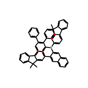 CC1(C)c2ccccc2-c2ccc(-c3cc4ccccc4cc3N(c3ccc4c(c3)C(C)(C)c3ccccc3-4)c3cccc(-c4ccccc4)c3-c3ccccc3)cc21